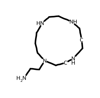 NCCN1CCCNCCNCCCNCC1